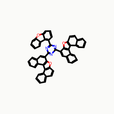 c1ccc2c(c1)ccc1oc3c(-c4nc(-c5cc6ccccc6c6c5oc5ccc7ccccc7c56)nc(-c5cccc6oc7ccccc7c56)n4)cc4ccccc4c3c12